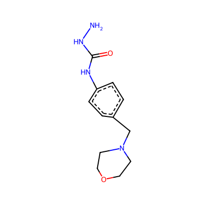 NNC(=O)Nc1ccc(CN2CCOCC2)cc1